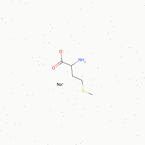 CSCCC(N)C(=O)[O-].[Na+]